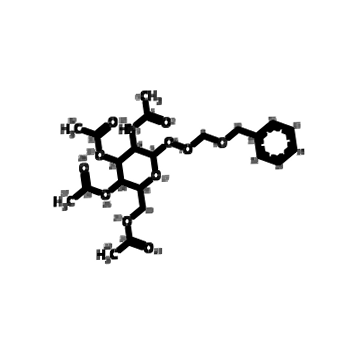 CC(=O)NC1C(OOCOCc2ccccc2)OC(COC(C)=O)C(OC(C)=O)C1OC(C)=O